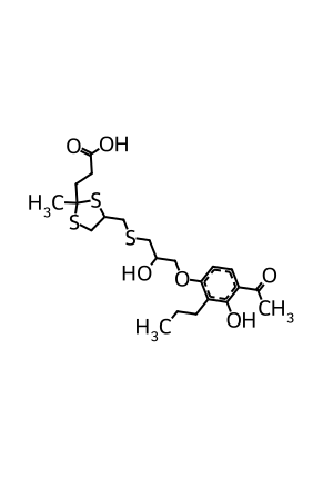 CCCc1c(OCC(O)CSCC2CSC(C)(CCC(=O)O)S2)ccc(C(C)=O)c1O